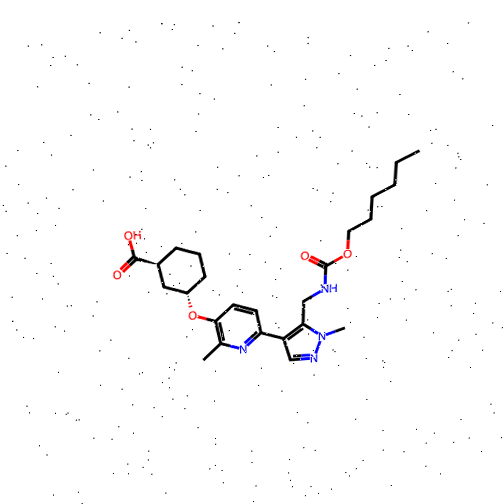 CCCCCCOC(=O)NCc1c(-c2ccc(O[C@H]3CCC[C@H](C(=O)O)C3)c(C)n2)cnn1C